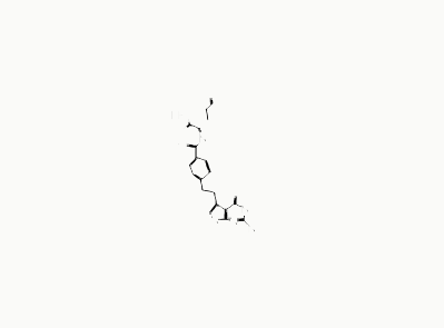 Nc1nc2[nH]cc(CCc3ccc(C(=O)N[C@@H](CCC=O)C(=O)O)cc3)c2c(=O)[nH]1